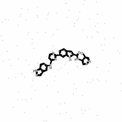 O=C(Nc1cnncc1Cl)c1cc2ccc(-c3nccc(Nc4ccc5[nH]ncc5c4)n3)cc2[nH]1